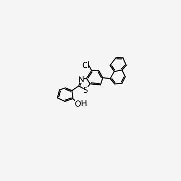 Oc1ccccc1-c1nc2c(Cl)cc(-c3cccc4ccccc34)cc2s1